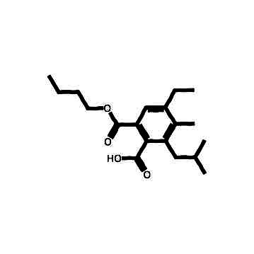 CCCCOC(=O)c1cc(CC)c(C)c(CC(C)C)c1C(=O)O